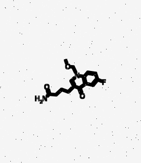 COCn1cc(CCCC(N)=O)c(=O)c2cc(F)ccc21